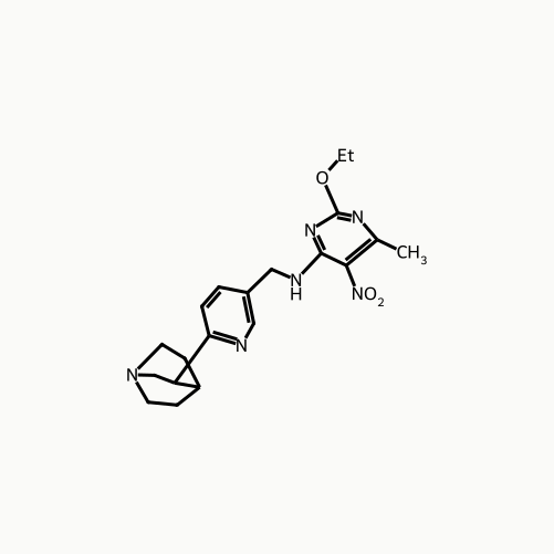 CCOc1nc(C)c([N+](=O)[O-])c(NCc2ccc(C3CN4CCC3CC4)nc2)n1